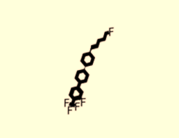 FCCC/C=C/[C@H]1CC[C@H](C2CCC(c3ccc(C(F)(F)F)c(F)c3)CC2)CC1